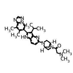 Cc1c(-c2[nH]c3ccc(N4C[C@@H]5C[C@H]4CN5C(=O)CN(C)C)nc3c2C(C)C)cn2ncnc2c1C